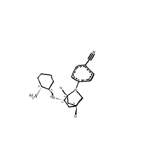 N#Cc1ccc(N2C[C@@H]3C[C@H](N[C@@H]4CCCC[C@H]4N)[C@H]2C3)cc1